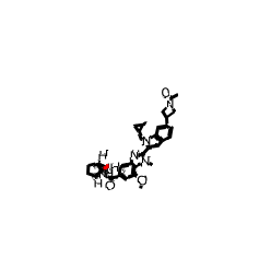 COc1cc(C(=O)N2C[C@H]3CC[C@@H]2[C@@H]3N)cc2nc(-c3cc4ccc(C5CN(C(C)=O)C5)cc4n3CC3CC3)n(C)c12